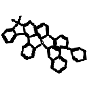 CC1(C)c2ccccc2-c2c(-c3ccccc3N(c3ccc4ccccc4c3)c3ccccc3-c3ccc(-c4ccccc4)cc3)cccc21